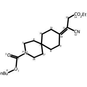 CCCCOC(=O)N1CCC2(CCC(=C(C#N)CC(=O)OCC)CC2)CC1